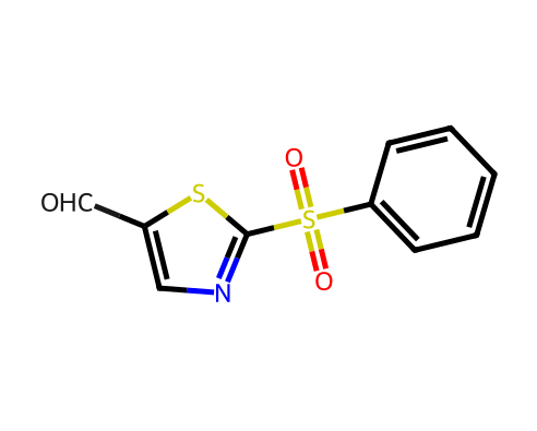 O=Cc1cnc(S(=O)(=O)c2ccccc2)s1